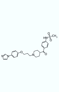 CS(=O)(=O)Nc1ccc(C(=O)C2CCN(CCCOc3ccc(-n4ccnc4)cc3)CC2)cc1